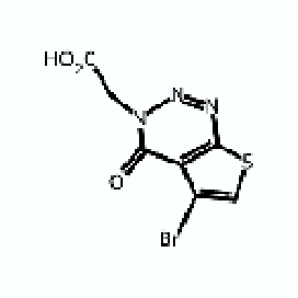 O=C(O)Cn1nnc2scc(Br)c2c1=O